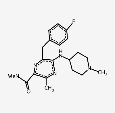 CNC(=O)c1nc(Cc2ccc(F)cc2)c(NC2CCN(C)CC2)nc1C